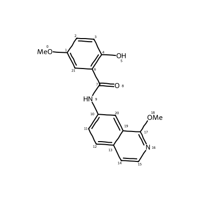 COc1ccc(O)c(C(=O)Nc2ccc3ccnc(OC)c3c2)c1